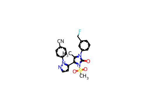 Cc1c(-c2ccnn2-c2ccc(C#N)cc2)n(S(C)(=O)=O)c(=O)n1-c1cccc(CF)c1